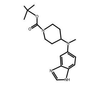 CN(c1ccc2[nH]cnc2c1)C1CCN(C(=O)OC(C)(C)C)CC1